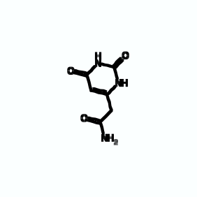 NC(=O)Cc1cc(=O)[nH]c(=O)[nH]1